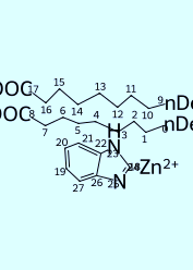 CCCCCCCCCCCCCCCCCC(=O)[O-].CCCCCCCCCCCCCCCCCC(=O)[O-].[Zn+2].c1ccc2[nH]cnc2c1